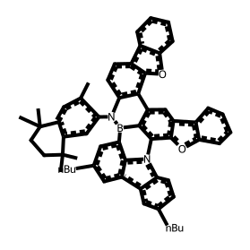 CCCCc1ccc2c(c1)c1cc(CCCC)cc3c1n2-c1c2c(cc4c1oc1ccccc14)-c1c(ccc4c1oc1ccccc14)N(c1cc4c(cc1C)C(C)(C)CCC4(C)C)B23